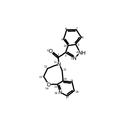 O=C(c1n[nH]c2ccccc12)N1CCOc2ncccc2C1